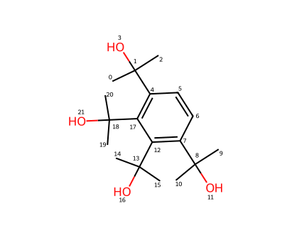 CC(C)(O)c1ccc(C(C)(C)O)c(C(C)(C)O)c1C(C)(C)O